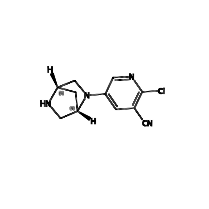 N#Cc1cc(N2C[C@@H]3C[C@H]2CN3)cnc1Cl